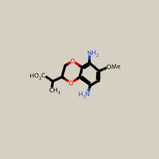 COc1cc(N)c2c(c1N)OCC(C(C)C(=O)O)O2